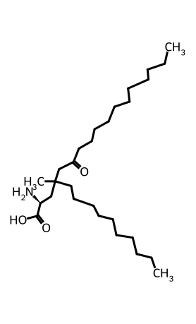 CCCCCCCCCCCC(=O)CC(C)(CCCCCCCCCC)C[C@H](N)C(=O)O